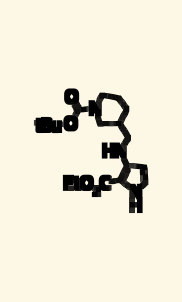 CCOC(=O)c1[nH]ccc1NCC1CCCN(C(=O)OC(C)(C)C)C1